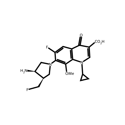 COc1c(N2C[C@@H](CF)[C@@H](N)C2)c(F)cc2c(=O)c(C(=O)O)cn(C3CC3)c12